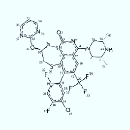 C[C@@H]1CN(c2nc(=O)n3c4c(c(-c5cc(Cl)c(F)cc5F)c(C(F)(F)F)cc24)SC[C@@H](Oc2ncccn2)C3)C[C@H](C)N1